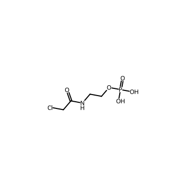 O=C(CCl)NCCOP(=O)(O)O